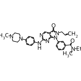 C=CCn1c(=O)c2cnc(Nc3ccc(N4CCN(C)CC4)cc3)nc2n1-c1cccc(C(=O)N(C)CC)c1